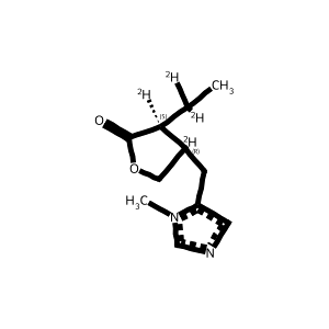 [2H]C([2H])(C)[C@]1([2H])C(=O)OC[C@]1([2H])Cc1cncn1C